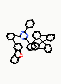 c1ccc(-c2nc(-c3ccccc3-c3ccc4oc5ccccc5c4c3)nc(-c3ccccc3-c3cccc4c3C3(c5ccccc5-c5ccccc53)c3ccccc3-4)n2)cc1